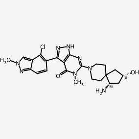 Cn1cc2c(Cl)c(-c3n[nH]c4nc(N5CCC6(CC5)C[C@H](O)C[C@H]6N)n(C)c(=O)c34)ccc2n1